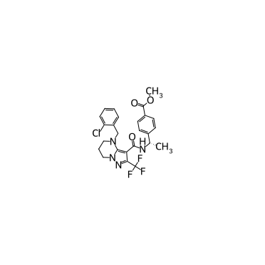 COC(=O)c1ccc([C@H](C)NC(=O)c2c(C(F)(F)F)nn3c2N(Cc2ccccc2Cl)CCC3)cc1